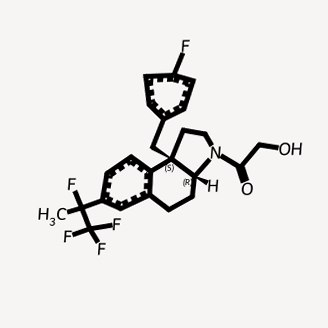 CC(F)(c1ccc2c(c1)CC[C@H]1N(C(=O)CO)CC[C@@]21Cc1ccc(F)cc1)C(F)(F)F